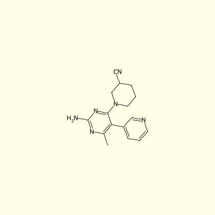 Cc1nc(N)nc(N2CCCC(C#N)C2)c1-c1cccnc1